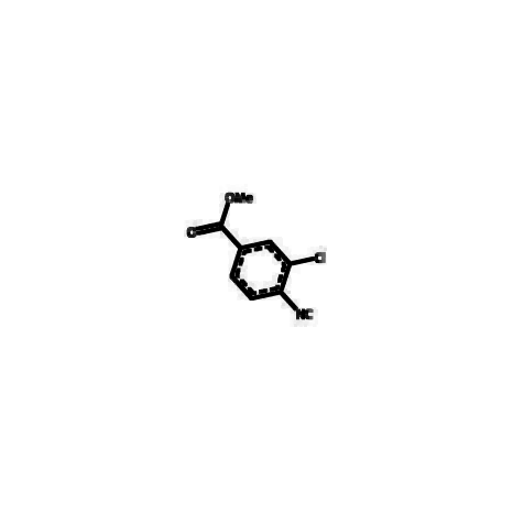 [C-]#[N+]c1ccc(C(=O)OC)cc1Cl